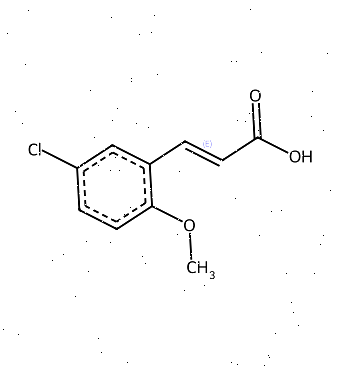 COc1ccc(Cl)cc1/C=C/C(=O)O